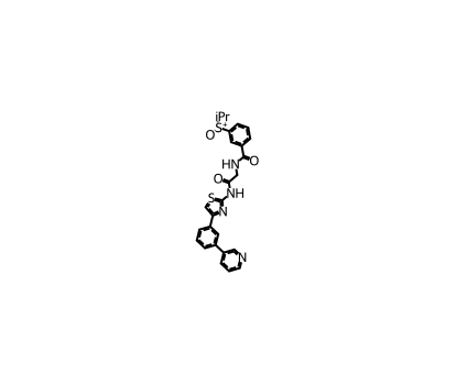 CC(C)[S+]([O-])c1cccc(C(=O)NCC(=O)Nc2nc(-c3cccc(-c4cccnc4)c3)cs2)c1